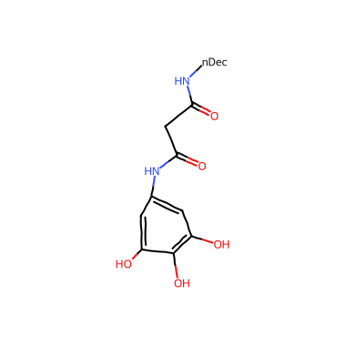 CCCCCCCCCCNC(=O)CC(=O)Nc1cc(O)c(O)c(O)c1